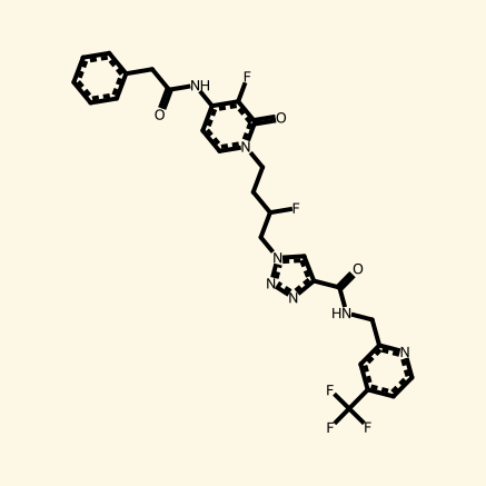 O=C(Cc1ccccc1)Nc1ccn(CCC(F)Cn2cc(C(=O)NCc3cc(C(F)(F)F)ccn3)nn2)c(=O)c1F